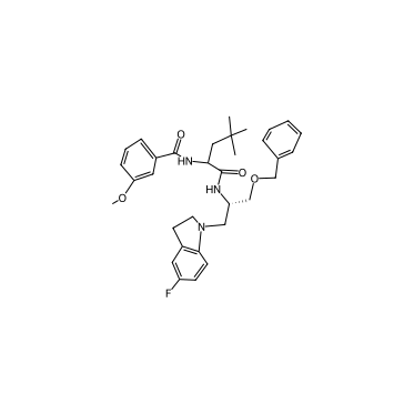 COc1cccc(C(=O)NC(CC(C)(C)C)C(=O)N[C@H](COCc2ccccc2)CN2CCc3cc(F)ccc32)c1